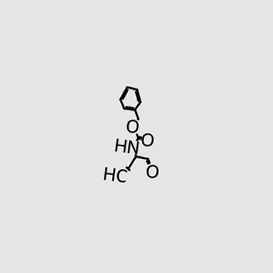 C#CC(C=O)NC(=O)OCc1ccccc1